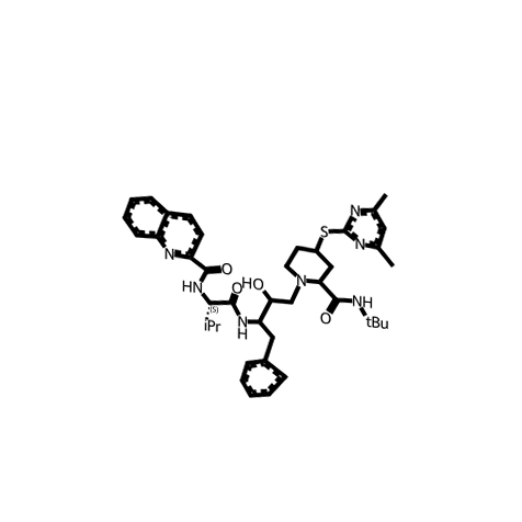 Cc1cc(C)nc(SC2CCN(CC(O)C(Cc3ccccc3)NC(=O)[C@@H](NC(=O)c3ccc4ccccc4n3)C(C)C)C(C(=O)NC(C)(C)C)C2)n1